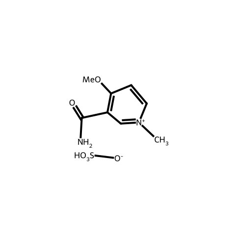 COc1cc[n+](C)cc1C(N)=O.O=S(=O)([O-])O